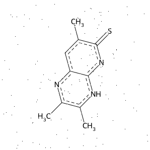 Cc1nc2cc(C)c(=S)nc-2[nH]c1C